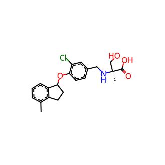 Cc1cccc2c1CCC2Oc1ccc(CN[C@@](C)(CO)C(=O)O)cc1Cl